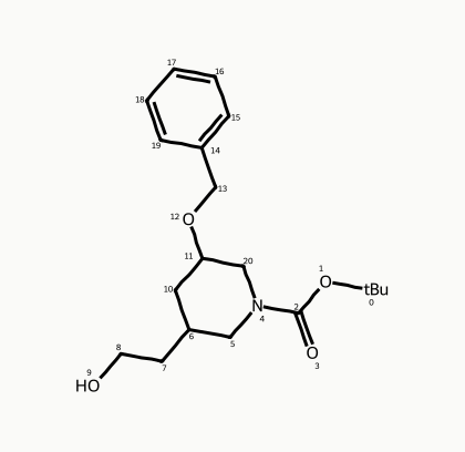 CC(C)(C)OC(=O)N1CC(CCO)CC(OCc2ccccc2)C1